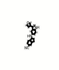 N#Cc1ccc2c(c1)CC[C@H]2Nc1ccc2[nH]nc(-c3ccoc3)c2c1